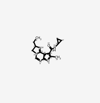 CCC1CN2C=Nc3oc(C)c(C(=O)NC4CC4)c3C2=N1